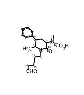 CC1C(c2ccccc2)CC(NC(=O)O)C(=O)N1CCCCC=O